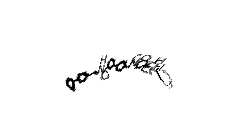 CC1(C)CCC(N(Cc2ccc(-c3cccc(C(=O)NCCc4ccc(-c5ccccc5)cc4)c3)cc2)C(=O)O)CC1